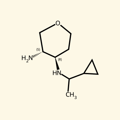 CC(N[C@@H]1CCOC[C@H]1N)C1CC1